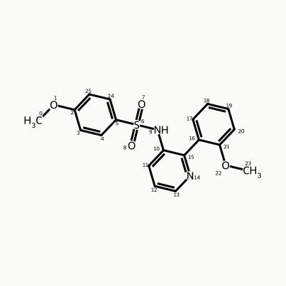 COc1ccc(S(=O)(=O)Nc2cccnc2-c2ccccc2OC)cc1